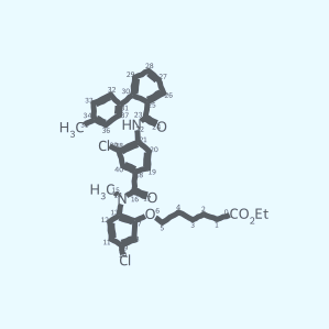 CCOC(=O)CCCCCOc1cc(Cl)ccc1N(C)C(=O)c1ccc(NC(=O)c2ccccc2-c2ccc(C)cc2)c(Cl)c1